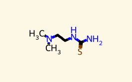 CN(C)CCNC(N)=S